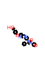 Cc1nc(Oc2ccc(C(C)(C)O)cc2)ccc1CN1CCC(N2C(=O)N(C3CCOCC3)C[C@H]2c2ccccc2)CC1